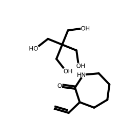 C=CC1CCCCNC1=O.OCC(CO)(CO)CO